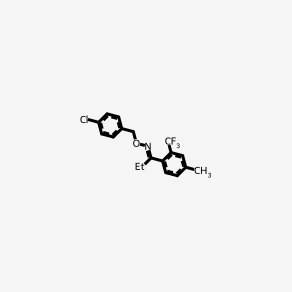 CC/C(=N\OCc1ccc(Cl)cc1)c1ccc(C)cc1C(F)(F)F